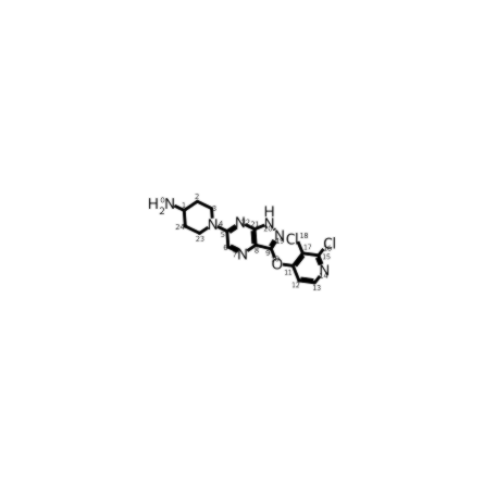 NC1CCN(c2cnc3c(Oc4ccnc(Cl)c4Cl)n[nH]c3n2)CC1